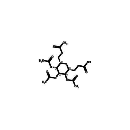 CC(=O)OC[C@@H]1S[C@H](CCC(=O)O)[C@@H](OC(C)=O)[C@@H](OC(C)=O)[C@@H]1OC(C)=O